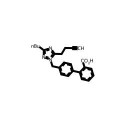 C#CCCc1nc(CCCC)nn1Cc1ccc(-c2ccccc2C(=O)O)cc1